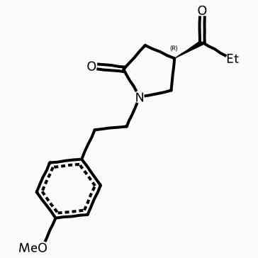 CCC(=O)[C@@H]1CC(=O)N(CCc2ccc(OC)cc2)C1